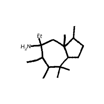 CCC1(N)CC2(C)C(C)CCC2C(C)(C)C(C)C1C